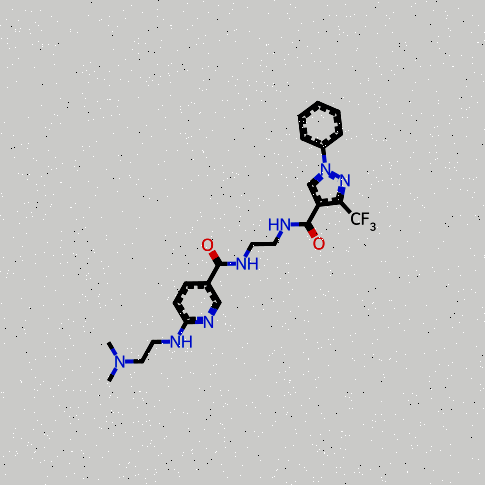 CN(C)CCNc1ccc(C(=O)NCCNC(=O)c2cn(-c3ccccc3)nc2C(F)(F)F)cn1